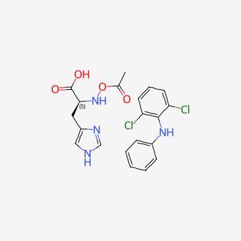 CC(=O)ON[C@@H](Cc1c[nH]cn1)C(=O)O.Clc1cccc(Cl)c1Nc1ccccc1